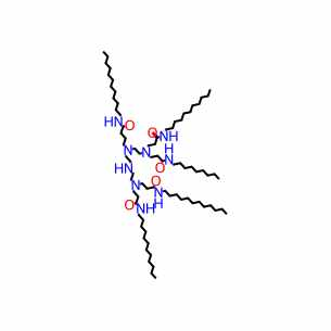 CCCCCCCCCCCCNC(=O)CCCN(CCNCCN(CCC(=O)NCCCCCCCCCCCC)CCC(=O)NCCCCCCCCCCCC)CCN(CCC(=O)NCCCCCCCCC)CCC(=O)NCCCCCCCCCCC